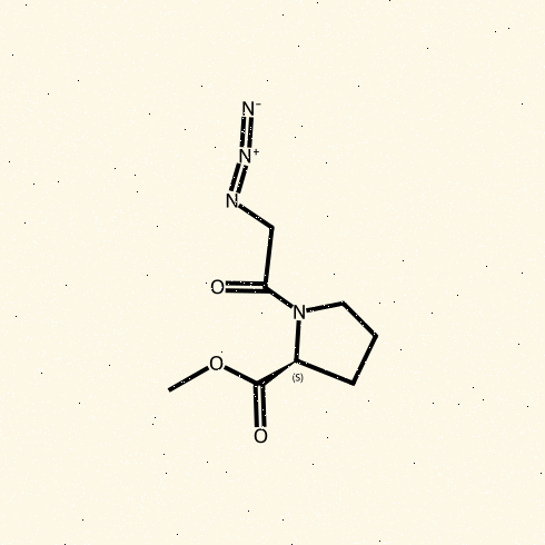 COC(=O)[C@@H]1CCCN1C(=O)CN=[N+]=[N-]